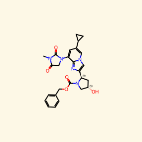 CN1C(=O)CN(c2cc(C3CC3)cn3cc([C@H]4C[C@H](O)CN4C(=O)OCc4ccccc4)nc23)C1=O